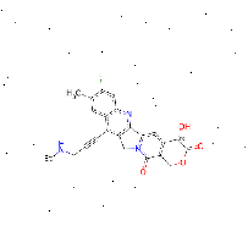 CCNCC#Cc1c2c(nc3cc(F)c(C)cc13)-c1cc3c(c(=O)n1C2)COC(=O)[C@H]3O